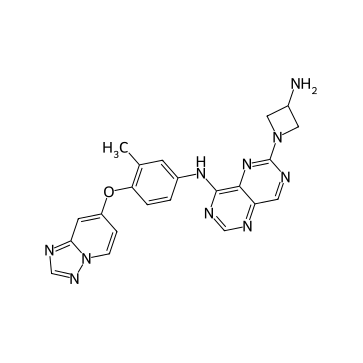 Cc1cc(Nc2ncnc3cnc(N4CC(N)C4)nc23)ccc1Oc1ccn2ncnc2c1